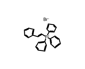 C(=C[P+](c1ccccc1)(c1ccccc1)c1ccccc1)c1ccccc1.[Br-]